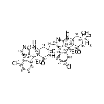 CC[C@@]1(c2cccc(Cl)c2)C2=C(CC(C)(Cc3nc4c(s3)[C@@](CC)(c3cccc(Cl)c3)C3=C(CC(C)(C)CC3=O)N4)CC2=O)Nc2ncsc21